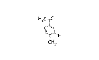 Cc1ccc(C2(C)CC2)cc1F